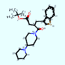 CC(C)(C)OC(=O)CC(Cc1csc2ccccc12)C(=O)N1CCC(N2CCCCC2)CC1